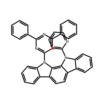 c1ccc(-c2nc(-c3ccccc3)nc(-n3c4ccccc4c4ccc5c6ccccc6n(-c6ncccn6)c5c43)n2)cc1